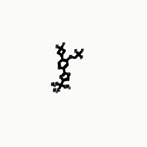 CC(C)(C)c1noc(-c2cc(OCC(F)(F)F)c(N3CC(F)(F)C3)cn2)n1